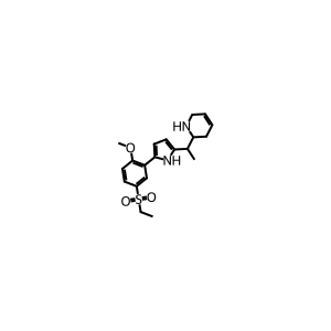 CCS(=O)(=O)c1ccc(OC)c(-c2ccc(C(C)C3CC=CCN3)[nH]2)c1